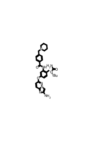 CC(C)(C)OC(N)=O.Cc1ccc(Oc2ccc3nc(N)cn3n2)cc1NC(=O)c1ccc(CN2CCCCC2)cc1